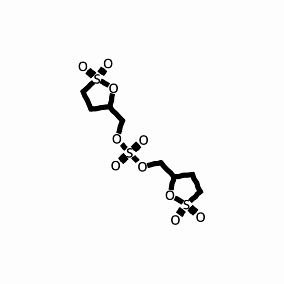 O=S1(=O)CCC(COS(=O)(=O)OCC2CCS(=O)(=O)O2)O1